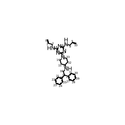 C=CCNc1nc(NCC=C)nc(N2CCC(NCC(c3ccccc3)c3ccccc3)CC2)n1